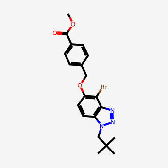 COC(=O)c1ccc(COc2ccc3c(nnn3CC(C)(C)C)c2Br)cc1